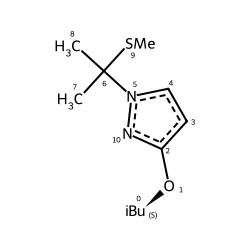 CC[C@H](C)Oc1ccn(C(C)(C)SC)n1